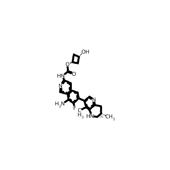 Cc1c(-c2cc3cc(NC(=O)O[C@H]4C[C@@H](O)C4)ncc3c(N)c2F)cnc2c1NC[C@@H](C)C2